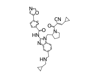 N#CC(=CC1CC1)C(=O)N1CCCC1Cn1c(NC(=O)c2ccc(-c3cnco3)s2)nc2cc(CNCC3CC3)ccc21